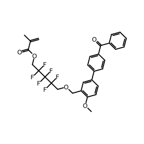 C=C(C)C(=O)OCC(F)(F)C(F)(F)C(F)(F)COCc1cc(-c2ccc(C(=O)c3ccccc3)cc2)ccc1OC